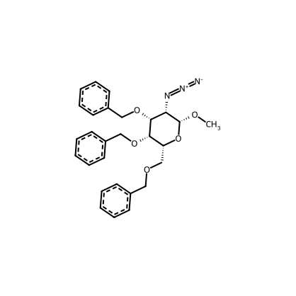 CO[C@@H]1O[C@H](COCc2ccccc2)[C@H](OCc2ccccc2)[C@H](OCc2ccccc2)[C@@H]1N=[N+]=[N-]